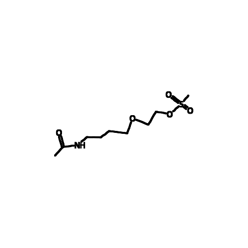 CC(=O)NCCCCOCCOS(C)(=O)=O